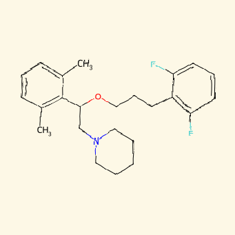 Cc1cccc(C)c1C(CN1CCCCC1)OCCCc1c(F)cccc1F